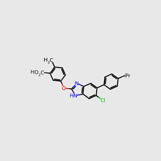 Cc1ccc(Oc2nc3cc(-c4ccc(C(C)C)cc4)c(Cl)cc3[nH]2)cc1C(=O)O